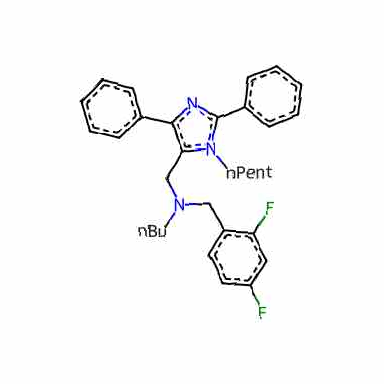 CCCCCn1c(-c2ccccc2)nc(-c2ccccc2)c1CN(CCCC)Cc1ccc(F)cc1F